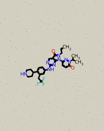 C=CCn1c(=O)c2cnc(Nc3ccc(C4CCNCC4)c(CC(F)(F)F)c3)nc2n1-c1ccc(=O)n(C(C)C)n1